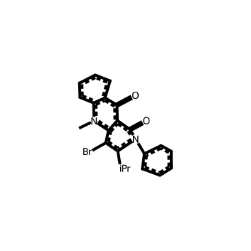 CC(C)c1c(Br)c2c(c(=O)c3ccccc3n2C)c(=O)n1-c1ccccc1